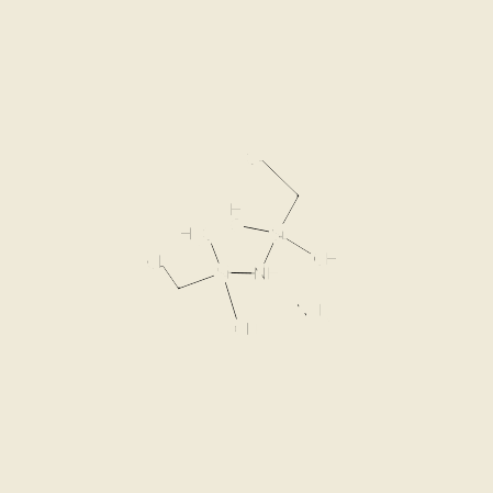 C[Si](C)(CCl)N[Si](C)(C)CCl.N